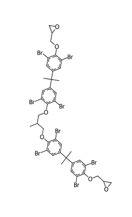 CC(COc1c(Br)cc(C(C)(C)c2cc(Br)c(OCC3CO3)c(Br)c2)cc1Br)COc1c(Br)cc(C(C)(C)c2cc(Br)c(OCC3CO3)c(Br)c2)cc1Br